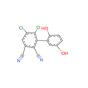 N#Cc1cc(Cl)c(Cl)c(-c2cc(O)ccc2O)c1C#N